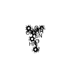 N#Cc1c(-c2cccc(C(=O)NCc3ccccn3)c2)cc(-c2ccccc2O)nc1NC(=O)c1cccs1